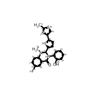 Cc1nc(-c2ccc(C3N(C)c4ccc(F)cc4C(=O)N3c3ccccc3O)s2)cs1